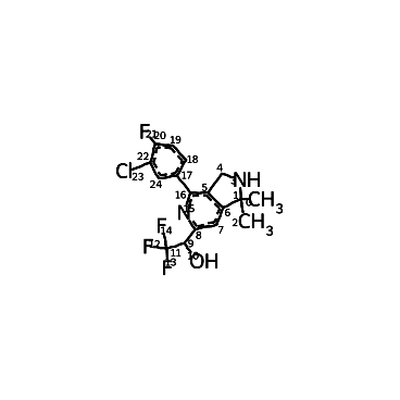 CC1(C)NCc2c1cc(C(O)C(F)(F)F)nc2-c1ccc(F)c(Cl)c1